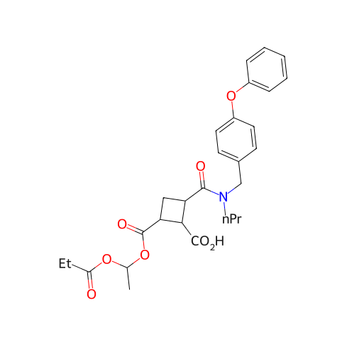 CCCN(Cc1ccc(Oc2ccccc2)cc1)C(=O)C1CC(C(=O)OC(C)OC(=O)CC)C1C(=O)O